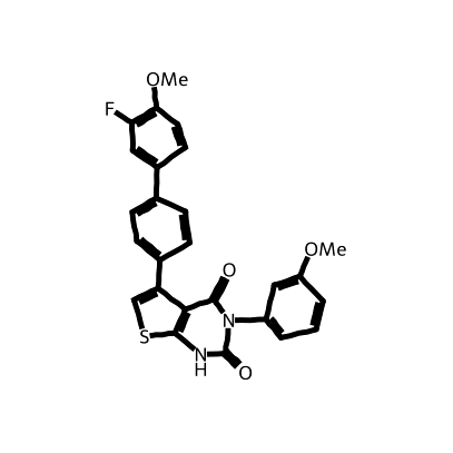 COc1cccc(-n2c(=O)[nH]c3scc(-c4ccc(-c5ccc(OC)c(F)c5)cc4)c3c2=O)c1